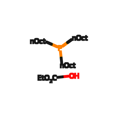 CCCCCCCCP(CCCCCCCC)CCCCCCCC.CCOC(=O)O